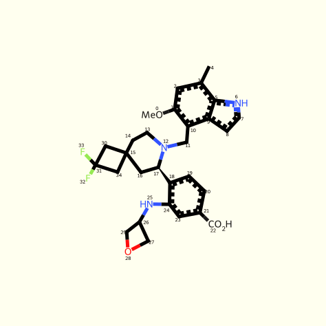 COc1cc(C)c2[nH]ccc2c1CN1CCC2(C[C@@H]1c1ccc(C(=O)O)cc1NC1COC1)CC(F)(F)C2